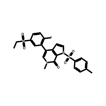 CCS(=O)(=O)c1ccc(F)c(-c2cn(C)c(=O)c3c2ccn3S(=O)(=O)c2ccc(C)cc2)c1